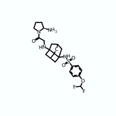 N[C@@H]1CCCN1C(=O)CNC12CC3CC4(NS(=O)(=O)c5ccc(OC(F)F)cc5)CC(C1)C24C3